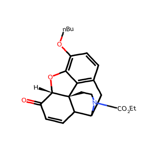 CCCCOc1ccc2c3c1O[C@H]1C(=O)C=CC4C(C2)N(C(=O)OCC)CC[C@@]341